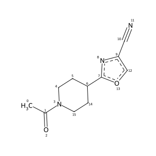 CC(=O)N1CCC(c2nc(C#N)co2)CC1